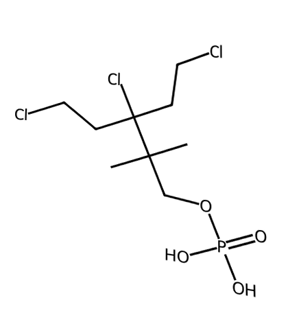 CC(C)(COP(=O)(O)O)C(Cl)(CCCl)CCCl